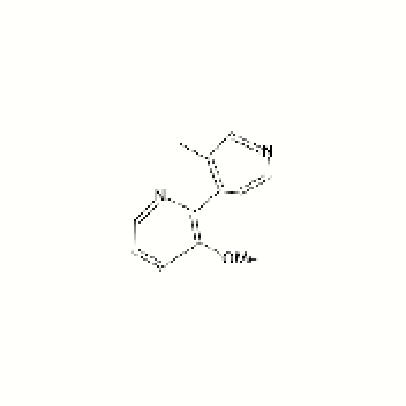 COc1[c]ccnc1-c1ccncc1C